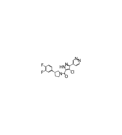 O=C(c1[nH]nc(-c2ccnnc2)c1Cl)N1CC[C@@H](c2ccc(F)c(F)c2)C1